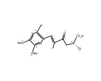 CC[C@H](CC(=O)/C(C)=C/c1cc(OC)c(OC)cc1C)C(=O)O